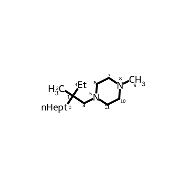 CCCCCCCC(C)(CC)CN1CCN(C)CC1